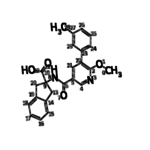 COc1ncc(C(=O)NC2(C(=O)O)Cc3ccccc3C2)cc1-c1cccc(C)c1